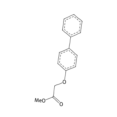 COC(=O)COc1ccc(-c2ccccc2)cc1